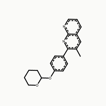 Cc1cc2cccnc2nc1-c1ccc(OC2CCCCO2)cc1